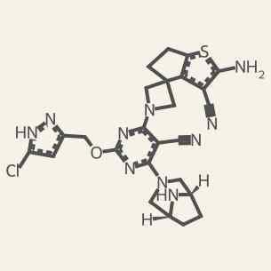 N#Cc1c(N2C[C@H]3CC[C@@H](C2)N3)nc(OCc2cc(Cl)[nH]n2)nc1N1CC2(CCc3sc(N)c(C#N)c32)C1